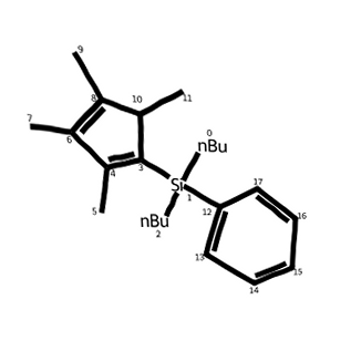 CCCC[Si](CCCC)(C1=C(C)C(C)=C(C)C1C)c1ccccc1